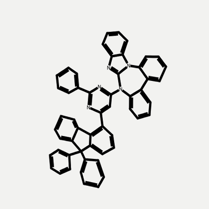 c1ccc(-c2nc(-c3cccc4c3-c3ccccc3C4(c3ccccc3)c3ccccc3)cc(N3c4ccccc4-c4ccccc4-n4c3nc3ccccc34)n2)cc1